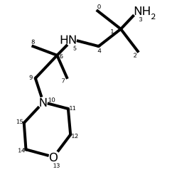 CC(C)(N)CNC(C)(C)CN1CCOCC1